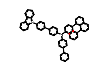 c1ccc(-c2ccc(N(c3ccc(-c4ccc(-n5c6ccccc6c6ccccc65)cc4)cc3)c3ccc(-c4cccc5cccc(-c6ccccc6)c45)cc3)cc2)cc1